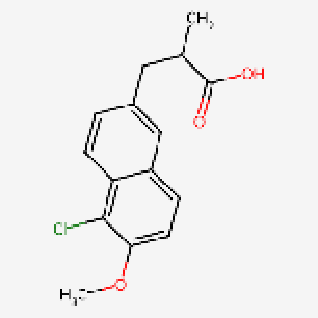 COc1ccc2cc(CC(C)C(=O)O)ccc2c1Cl